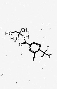 CC(C)(CO)NC(=O)c1ccc(C(F)(F)F)c(F)c1